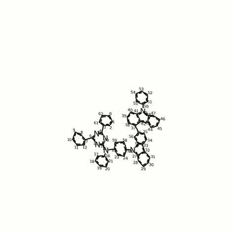 c1ccc(-c2nc(-c3ccccc3)nc(N(c3ccccc3)c3ccc(-n4c5ccccc5c5ccc(-c6cccc7c6c6ccccc6n7-c6ccccc6)cc54)cc3)n2)cc1